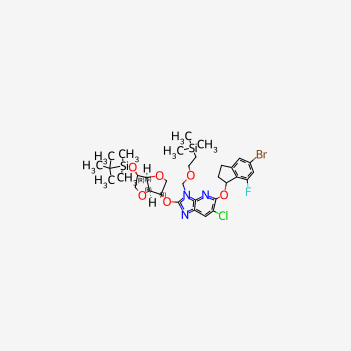 CC(C)(C)[Si](C)(C)O[C@@H]1CO[C@H]2[C@@H]1OC[C@H]2Oc1nc2cc(Cl)c(OC3CCc4cc(Br)cc(F)c43)nc2n1COCC[Si](C)(C)C